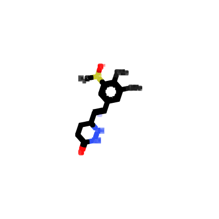 COc1cc(/C=C/C2CCC(=O)NN2)cc([S+](C)[O-])c1OC